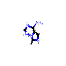 Cc1ncc2c(N)ncnn12